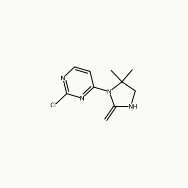 C=C1NCC(C)(C)N1c1ccnc(Cl)n1